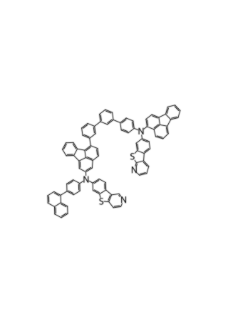 c1cc(-c2ccc(N(c3ccc4c(c3)sc3ncccc34)c3ccc4c5c(cccc35)-c3ccccc3-4)cc2)cc(-c2cccc(-c3ccc4cc(N(c5ccc(-c6cccc7ccccc67)cc5)c5ccc6c(c5)sc5ccncc56)cc5c4c3-c3ccccc3-5)c2)c1